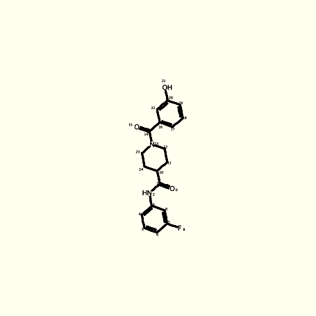 O=C(Nc1cccc(F)c1)C1CCN(C(=O)c2cccc(O)c2)CC1